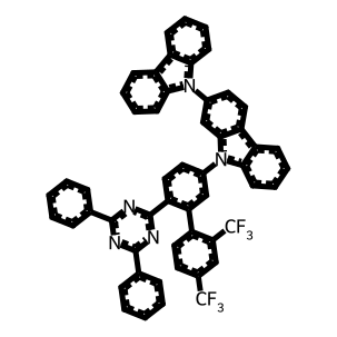 FC(F)(F)c1ccc(-c2cc(-n3c4ccccc4c4ccc(-n5c6ccccc6c6ccccc65)cc43)ccc2-c2nc(-c3ccccc3)nc(-c3ccccc3)n2)c(C(F)(F)F)c1